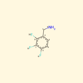 NCc1ccc(F)c(F)c1F